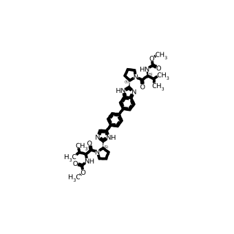 COC(=O)NC(C(=O)N1CCC[C@H]1c1ncc(-c2ccc(-c3ccc4nc([C@@H]5CCCN5C(=O)[C@@H](NC(=O)OC)C(C)C)[nH]c4c3)cc2)[nH]1)C(C)C